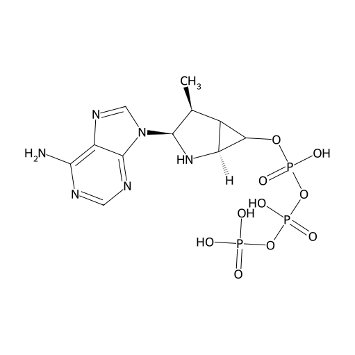 C[C@H]1C2C(OP(=O)(O)OP(=O)(O)OP(=O)(O)O)[C@H]2N[C@H]1n1cnc2c(N)ncnc21